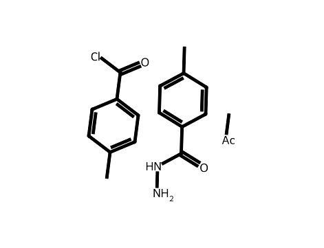 CC(C)=O.Cc1ccc(C(=O)Cl)cc1.Cc1ccc(C(=O)NN)cc1